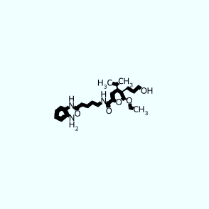 CCO[C@H]1OC(C(=O)NCCCCC(=O)Nc2ccccc2N)=C[C@@H](C(C)C)[C@H]1CCCO